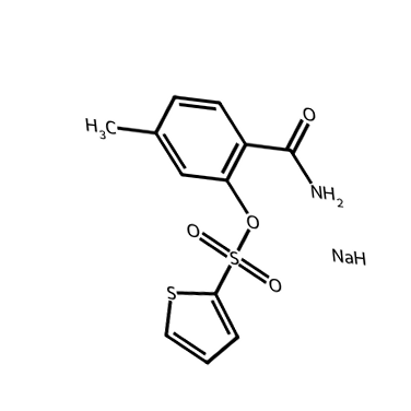 Cc1ccc(C(N)=O)c(OS(=O)(=O)c2cccs2)c1.[NaH]